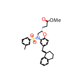 COC(=O)CC[C@H]1CN(S(=O)(=O)c2cccc(C)c2)c2cc(/C=C3\CCCc4ccccc43)ccc2O1